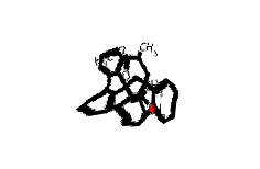 COC(=O)C(C)CC1(CC2(CC(C)C)c3ccccc3-c3ccccc32)c2ccccc2-c2ccccc21